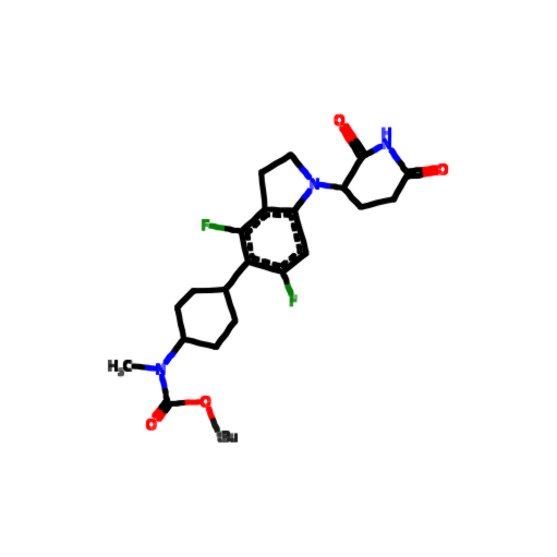 CN(C(=O)OC(C)(C)C)C1CCC(c2c(F)cc3c(c2F)CCN3C2CCC(=O)NC2=O)CC1